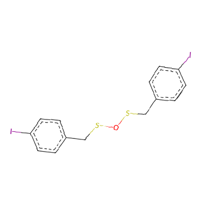 Ic1ccc(CSOSCc2ccc(I)cc2)cc1